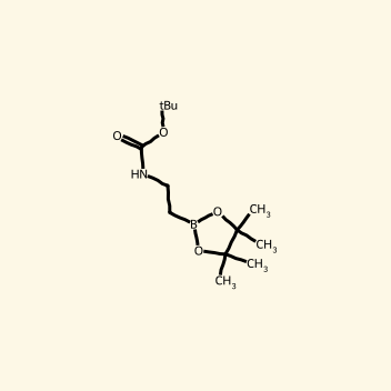 CC(C)(C)OC(=O)NCCB1OC(C)(C)C(C)(C)O1